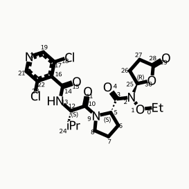 CCON(C(=O)[C@@H]1CCCN1C(=O)[C@@H](NC(=O)c1c(Cl)cncc1Cl)C(C)C)[C@H]1CCC(=O)O1